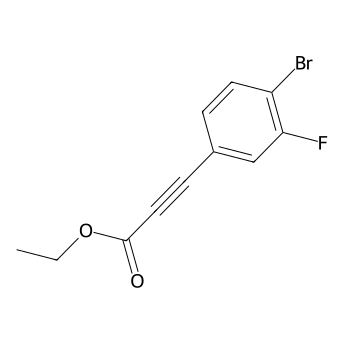 CCOC(=O)C#Cc1ccc(Br)c(F)c1